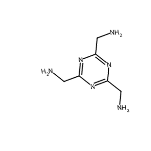 NCc1nc(CN)nc(CN)n1